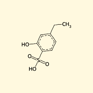 CCc1ccc(S(=O)(=O)O)c(O)c1